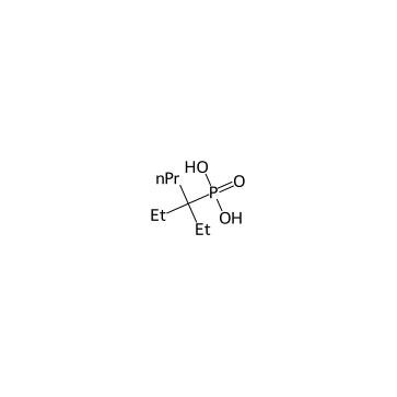 CCCC(CC)(CC)P(=O)(O)O